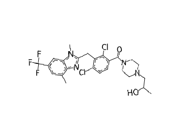 Cc1cc(C(F)(F)F)cc2c1nc(Cc1c(Cl)ccc(C(=O)N3CCN(CC(C)O)CC3)c1Cl)n2C